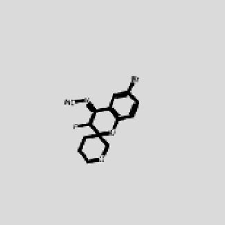 N#C/N=C1/c2cc(Br)ccc2OC2(CCCOC2)C1F